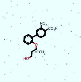 C[C@H](CCO)Oc1ccccc1-c1ccc(C(=O)O)c([N+](=O)[O-])c1